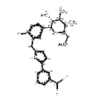 CC(=O)OC[C@H]1O[C@@H](c2ccc(Cl)c(Cc3ccc(-c4cccc(C(F)F)c4)s3)c2)[C@H](OC(C)=O)[C@@H](OC(C)=O)[C@@H]1OC(C)=O